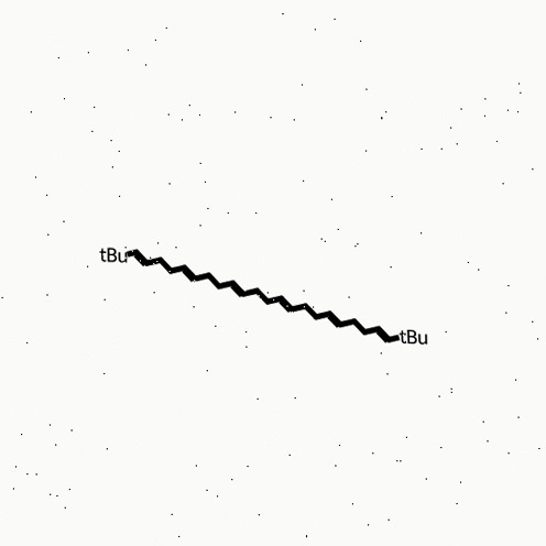 CC(C)(C)C=CCCC=CCCC=CCCC=CCCC=CCCC=CC(C)(C)C